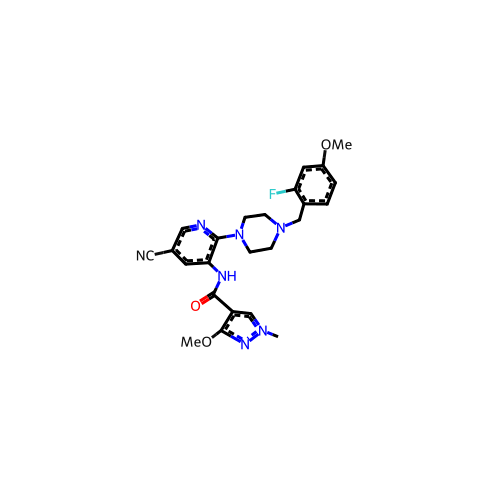 COc1ccc(CN2CCN(c3ncc(C#N)cc3NC(=O)c3cn(C)nc3OC)CC2)c(F)c1